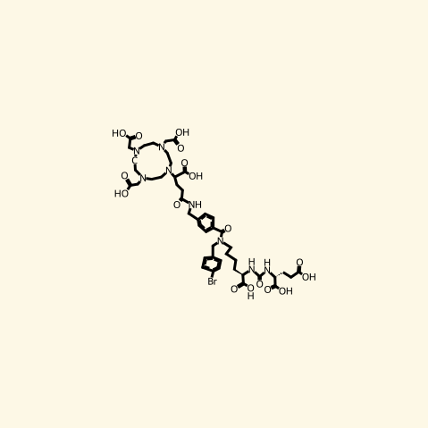 O=C(O)CC[C@@H](NC(=O)N[C@H](CCCCN(Cc1ccc(Br)cc1)C(=O)c1ccc(CNC(=O)CCC(C(=O)O)N2CCN(CC(=O)O)CCN(CC(=O)O)CCN(CC(=O)O)CC2)cc1)C(=O)O)C(=O)O